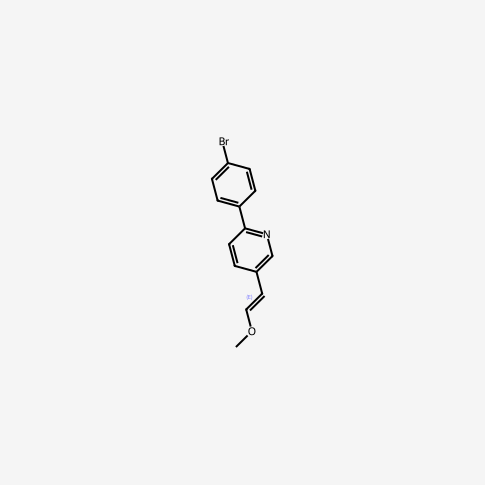 CO/C=C/c1ccc(-c2ccc(Br)cc2)nc1